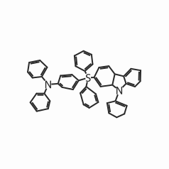 C1=CC(N2c3ccccc3C3C=CC(S(c4ccccc4)(c4ccccc4)c4ccc(N(c5ccccc5)c5ccccc5)cc4)=CC32)=CCC1